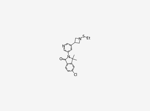 CCSN1CC(c2cncc(N3C(=O)c4ccc(Cl)cc4C3(C)C)c2)C1